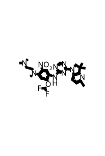 Cc1ccc2c(n1)C(C)(C)CN2c1ncnc(Nc2cc([N+](=O)[O-])c(N(C)CCN(C)C)cc2OC(F)F)n1